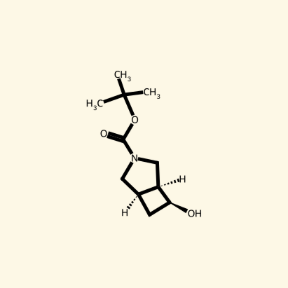 CC(C)(C)OC(=O)N1C[C@@H]2C[C@H](O)[C@@H]2C1